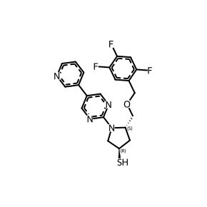 Fc1cc(F)c(COC[C@@H]2C[C@@H](S)CN2c2ncc(-c3cccnc3)cn2)cc1F